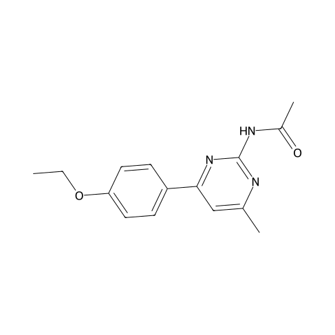 CCOc1ccc(-c2cc(C)nc(NC(C)=O)n2)cc1